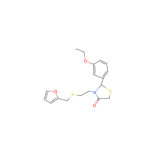 CCOc1cccc(C2SCC(=O)N2CCSCc2ccco2)c1